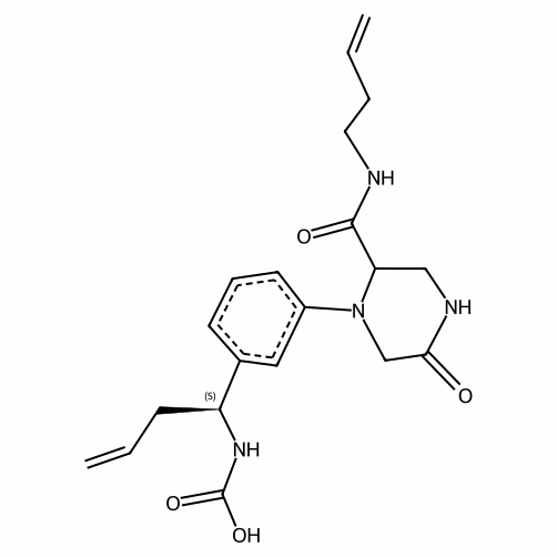 C=CCCNC(=O)C1CNC(=O)CN1c1cccc([C@H](CC=C)NC(=O)O)c1